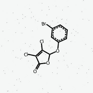 O=C1OC(Oc2cccc(Br)c2)C(Cl)=C1Cl